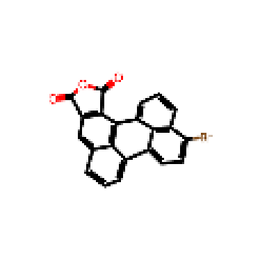 O=c1oc(=O)c2c1cc1cccc3c4ccc(Br)c5cccc(c54)c2c13